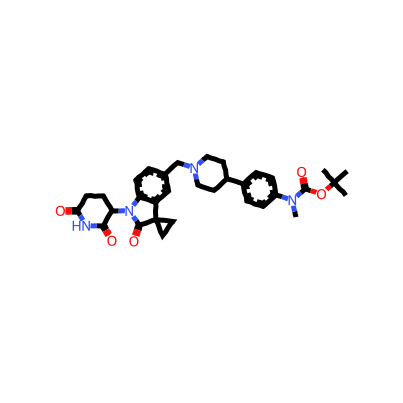 CN(C(=O)OC(C)(C)C)c1ccc(C2CCN(Cc3ccc4c(c3)C3(CC3)C(=O)N4C3CCC(=O)NC3=O)CC2)cc1